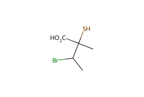 CC(Br)C(C)(S)C(=O)O